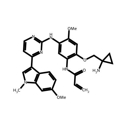 C=CC(=O)Nc1cc(Nc2nccc(-c3cn(C)c4cc(OC)ccc34)n2)c(OC)cc1OCC1(N)CC1